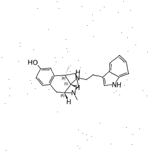 CN1CC[C@]2(C)c3cc(O)ccc3C[C@@H]1[C@H]2NCCc1c[nH]c2ccccc12